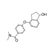 CN(C)C(=O)c1ccc(Oc2cccc3c2CCC3O)cc1